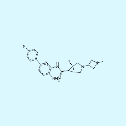 CN1CC(N2CC3[C@@H](C2)[C@@H]3C(=O)Nc2nc(-c3ccc(F)cc3)ccc2N)C1